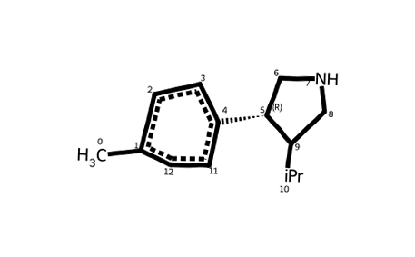 Cc1ccc([C@@H]2CNCC2C(C)C)cc1